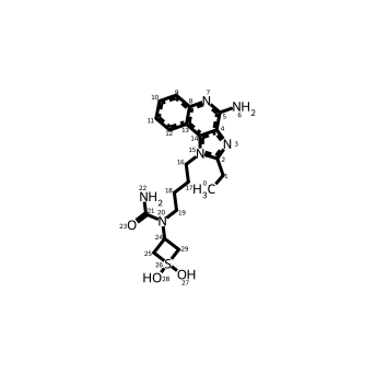 CCc1nc2c(N)nc3ccccc3c2n1CCCCN(C(N)=O)C1CS(O)(O)C1